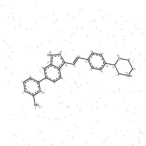 Nc1nccc(-c2ccc3c(/C=C/c4ccc(C5CNCCO5)cc4)n[nH]c3c2)n1